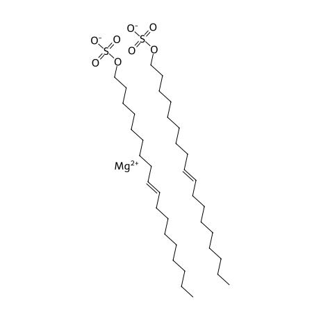 CCCCCCCCC=CCCCCCCCCOS(=O)(=O)[O-].CCCCCCCCC=CCCCCCCCCOS(=O)(=O)[O-].[Mg+2]